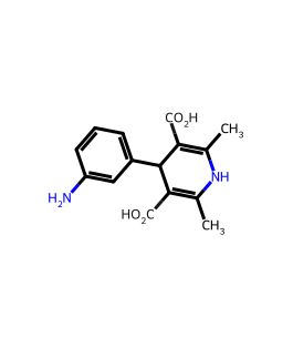 CC1=C(C(=O)O)C(c2cccc(N)c2)C(C(=O)O)=C(C)N1